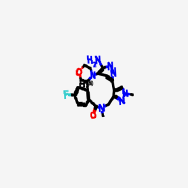 CN1Cc2nn(C)cc2-c2cc(c(N)nn2)N2CCOC[C@@H]2c2cc(F)ccc2C1=O